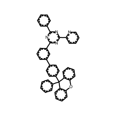 c1ccc(-c2nc(-c3cccc(-c4ccc(C5(c6ccccc6)c6ccccc6Oc6ccccc65)cc4)c3)nc(-c3ccccn3)n2)cc1